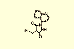 CC(C)CC1C(=O)NN(c2ccnc3ccccc23)C1=O